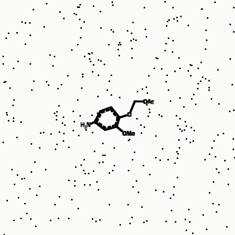 COc1cc(N)ccc1OCOC(C)=O